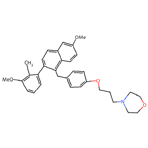 COc1ccc2c(Cc3ccc(OCCCN4CCOCC4)cc3)c(-c3cccc(OC)c3C)ccc2c1